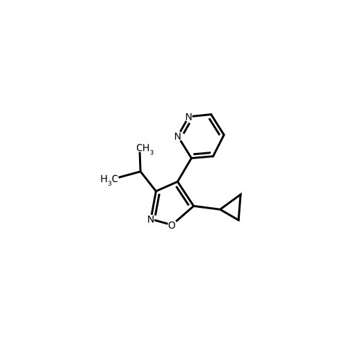 CC(C)c1noc(C2CC2)c1-c1cccnn1